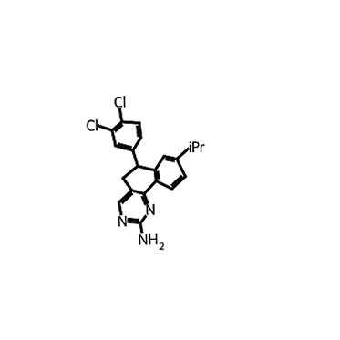 CC(C)c1ccc2c(c1)C(c1ccc(Cl)c(Cl)c1)Cc1cnc(N)nc1-2